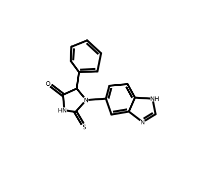 O=C1NC(=S)N(c2ccc3[nH]cnc3c2)C1c1ccccc1